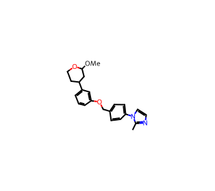 COC1CC(c2cccc(OCc3ccc(-n4ccnc4C)cc3)c2)CCO1